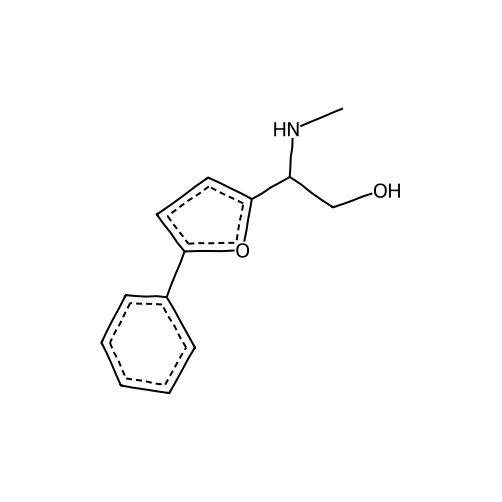 CNC(CO)c1ccc(-c2ccccc2)o1